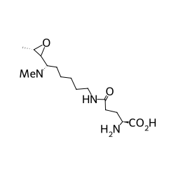 CN[C@@H](CCCCCNC(=O)CC[C@H](N)C(=O)O)C1O[C@H]1C